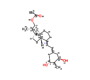 C=C1[C@H](O)CC(=C/C=C2\CCC[C@]3(C)[C@@H]([C@H](C)COC(=O)C(C)(C)C)CC[C@@H]23)C[C@H]1O